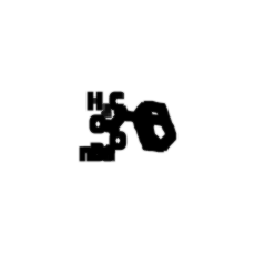 C=C(C(=O)OCCCC)C1C2CC3CC(C2)CC1C3